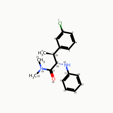 C[C@@H](c1cccc(Cl)c1)[C@H](Nc1ccccc1)C(=O)N(C)C